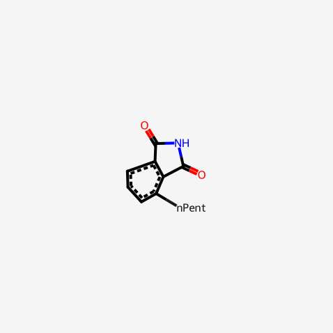 CCCCCc1cccc2c1C(=O)NC2=O